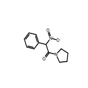 O=C(C(c1ccccc1)[N+](=O)[O-])N1CCCC1